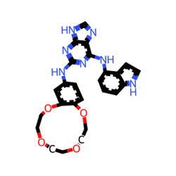 c1cc(Nc2nc(Nc3ccc4c(c3)OCCOCCOCCO4)nc3[nH]cnc23)c2cc[nH]c2c1